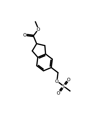 COC(=O)C1Cc2ccc(COS(C)(=O)=O)cc2C1